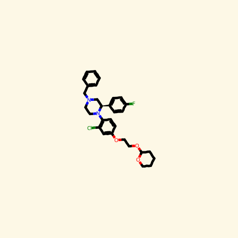 Fc1ccc([C@@H]2CN(Cc3ccccc3)CCN2c2ccc(OCCOC3CCCCO3)cc2Cl)cc1